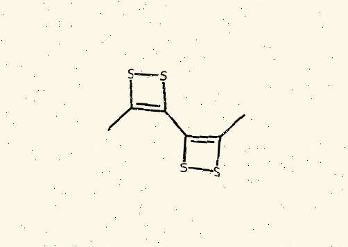 Cc1ssc1-c1ssc1C